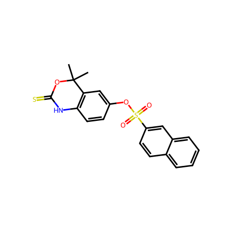 CC1(C)OC(=S)Nc2ccc(OS(=O)(=O)c3ccc4ccccc4c3)cc21